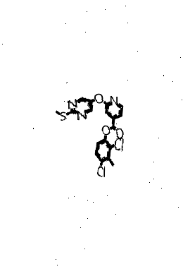 CSc1ncc(Oc2cc(C(=O)Oc3ccc(Cl)c(C)c3Cl)ccn2)cn1